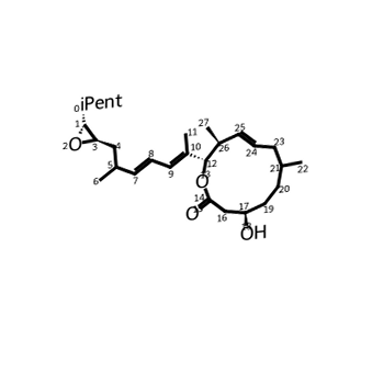 CCC[C@@H](C)[C@H]1O[C@@H]1CC(C)/C=C/C=C(\C)[C@H]1OC(=O)C[C@H](O)CCC(C)C/C=C/[C@@H]1C